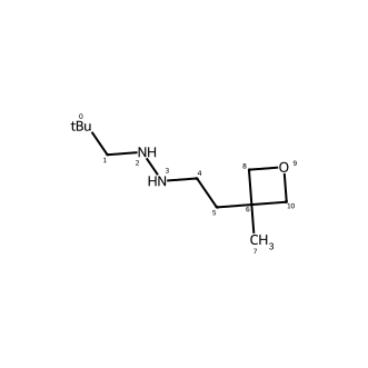 CC(C)(C)CNNCCC1(C)COC1